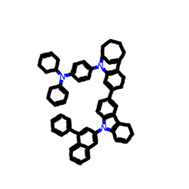 C1=CCCC(N(c2ccc(N3C4=C(CCC(c5ccc6c(c5)c5c(n6-c6cc(-c7ccccc7)c7ccccc7c6)C=CCC5)=C4)C4=CC3CCCC4)cc2)C2CC=CCC2)=C1